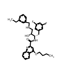 CCCCOc1cc(C(=O)N[C@@H](Cc2cc(F)cc(F)c2)[C@@H](O)CNCc2cccc(CC)c2)nc2ccccc12